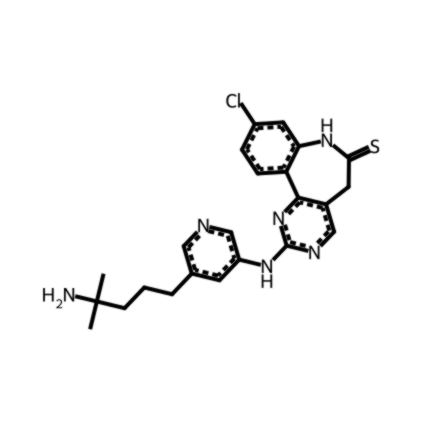 CC(C)(N)CCCc1cncc(Nc2ncc3c(n2)-c2ccc(Cl)cc2NC(=S)C3)c1